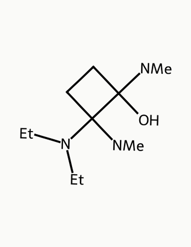 CCN(CC)C1(NC)CCC1(O)NC